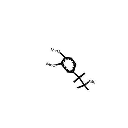 COc1ccc(C(C)(C)C(C)(C)C(C)(C)C)cc1OC